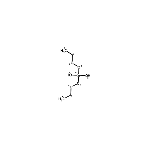 CCOO[Si](O)(O)OOCC